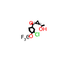 C=C(O)[C@H]1C[C@@H]1C(=O)c1ccc(OC(F)(F)F)c(Cl)c1